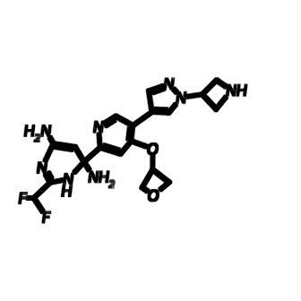 NC1=CC(N)(c2cc(OC3COC3)c(-c3cnn(C4CNC4)c3)cn2)NC(C(F)F)=N1